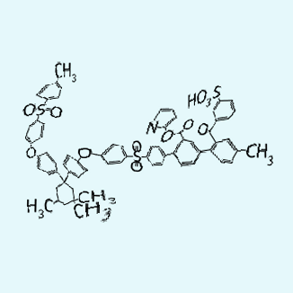 Cc1ccc(S(=O)(=O)c2ccc(Oc3ccc(C4(c5ccc(Oc6ccc(S(=O)(=O)c7ccc(-c8ccc(-c9ccc(C)cc9C(=O)c9cccc(S(=O)(=O)O)c9)cc8C(=O)Oc8ccccn8)cc7)cc6)cc5)CC(C)CC(C)(C)C4)cc3)cc2)cc1